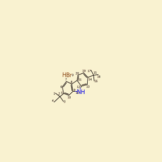 Br.CC(C)(C)c1ccc2c(c1)[nH]c1cc(C(C)(C)C)ccc12